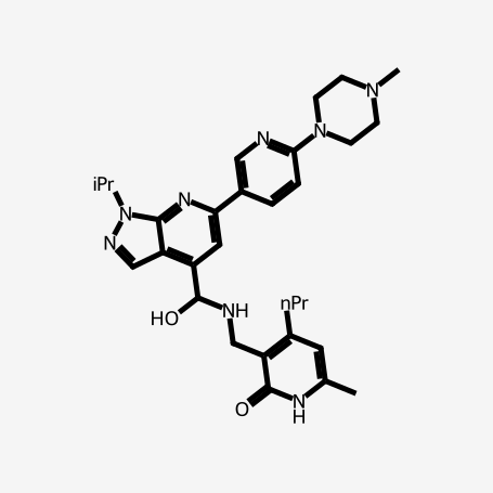 CCCc1cc(C)[nH]c(=O)c1CNC(O)c1cc(-c2ccc(N3CCN(C)CC3)nc2)nc2c1cnn2C(C)C